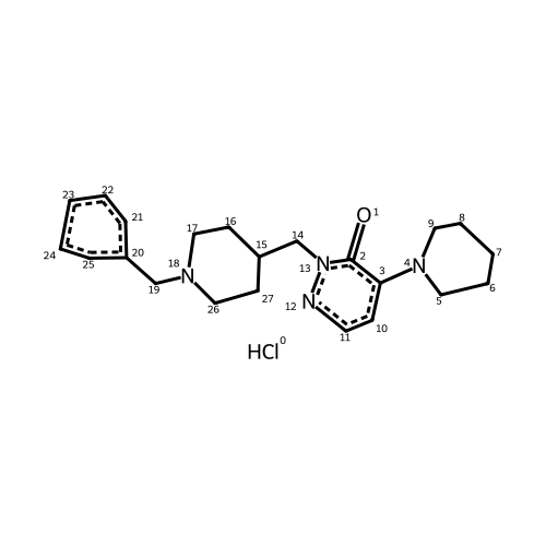 Cl.O=c1c(N2CCCCC2)ccnn1CC1CCN(Cc2ccccc2)CC1